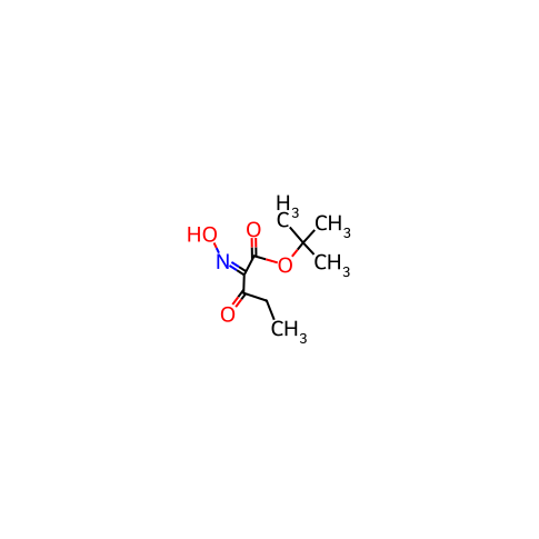 CCC(=O)/C(=N/O)C(=O)OC(C)(C)C